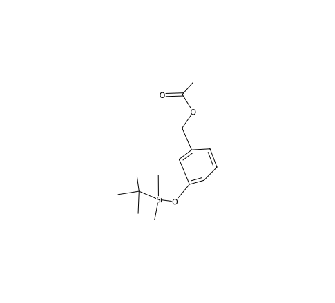 CC(=O)OCc1cccc(O[Si](C)(C)C(C)(C)C)c1